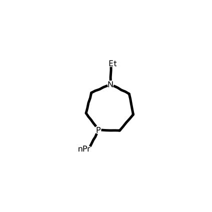 CCCP1CCCN(CC)CC1